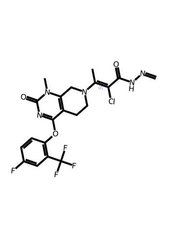 C=NNC(=O)/C(Cl)=C(\C)N1CCc2c(Oc3ccc(F)cc3C(F)(F)F)nc(=O)n(C)c2C1